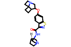 O=C(N[C@H]1CN2CCC1CC2)c1nsc2cc(OC3CN4CCC45CCC35)ccc12